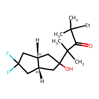 CCC(C)(C)C(=O)C(C)(C)C1(O)C[C@H]2CC(F)(F)C[C@H]2C1